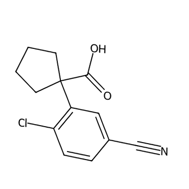 N#Cc1ccc(Cl)c(C2(C(=O)O)CCCC2)c1